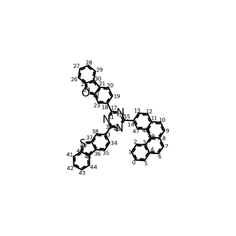 c1ccc2c(c1)ccc1ccc3ccc(-c4nc(-c5ccc6c(c5)oc5ccccc56)nc(-c5ccc6c(c5)sc5ccccc56)n4)cc3c12